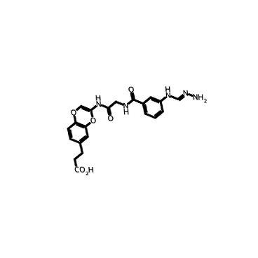 NN=CNc1cccc(C(=O)NCC(=O)NC2=COc3ccc(CCC(=O)O)cc3O2)c1